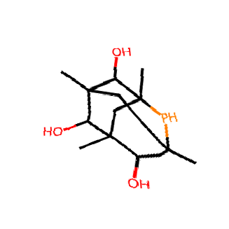 CC12CC3(C)C(O)C(C)(CC(C)(C1O)C3O)P2